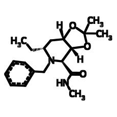 CC[C@@H]1C[C@@H]2OC(C)(C)O[C@@H]2[C@@H](C(=O)NC)N1Cc1ccccc1